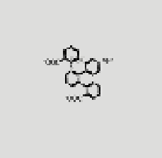 O=C([O-])c1ccccc1-c1cccc(-c2ccccc2C(=O)[O-])c1-c1ccccc1C(=O)[O-].[Al+3]